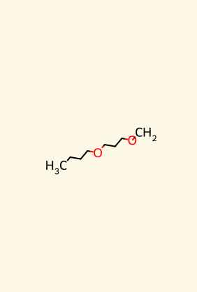 [CH2]OCCCOCCCC